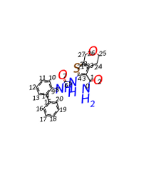 NC(=O)c1c(NC(=O)Nc2ccccc2-c2ccccc2)sc2c1CCOC2